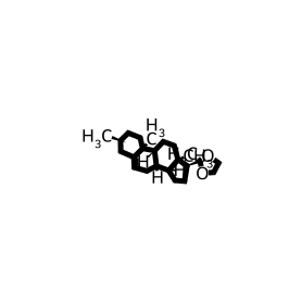 C[C@H]1CC[C@@]2(C)C(=CC[C@H]3[C@@H]4CC[C@H](C5(C)OCCO5)[C@@]4(C)CC[C@@H]32)C1